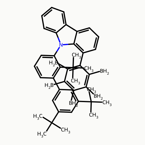 Bc1c(B)c(B)c(-c2cccc3c4ccccc4n(-c4cccc(-c5cc(C(C)(C)C)cc(C(C)(C)C)c5)c4C(C)(C)C)c23)c(B)c1B